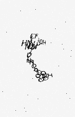 O=C1NC(=O)c2c(Oc3ccc(COCCN4CCN(Cc5ccc(-c6cn(C7CCC(O)CC7)c7nc(NCCC(F)(F)F)ncc67)cc5)CC4)cc3)cccc2C1=O